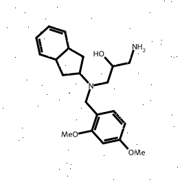 COc1ccc(CN(CC(O)CN)C2CC3C=CC=CC3C2)c(OC)c1